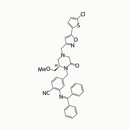 COC[C@H]1CN(Cc2cc(-c3ccc(Cl)s3)on2)CC(=O)N1Cc1ccc(C#N)c(N=C(c2ccccc2)c2ccccc2)c1